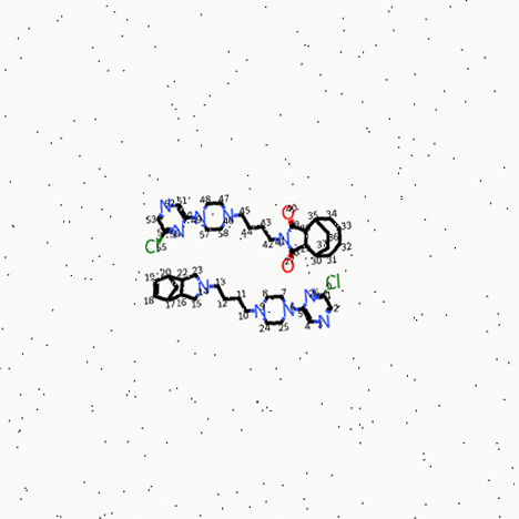 Clc1cncc(N2CCN(CCCCN3CC4C5C=CC(C5)C4C3)CC2)n1.O=C1C2C3CCCCC(CC3)C2C(=O)N1CCCCN1CCN(c2cncc(Cl)n2)CC1